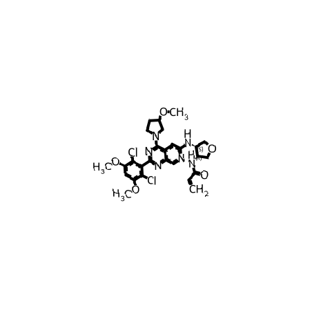 C=CC(=O)N[C@H]1COC[C@H]1Nc1cc2c(N3CCC(OC)C3)nc(-c3c(Cl)c(OC)cc(OC)c3Cl)nc2cn1